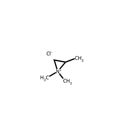 CC1C[N+]1(C)C.[Cl-]